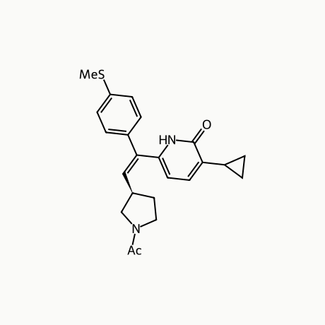 CSc1ccc(C(=C[C@H]2CCN(C(C)=O)C2)c2ccc(C3CC3)c(=O)[nH]2)cc1